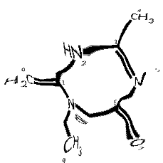 C=C1NC(C)=NC(=O)N1C